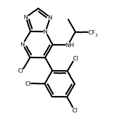 CC(Nc1c(-c2c(Cl)cc(Cl)cc2Cl)c(Cl)nc2ncnn12)C(F)(F)F